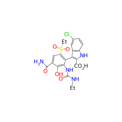 CCNC(=O)Nc1c(O)c(C(N)=O)cc(S(=O)(=O)CC)c1-c1c(C(=O)O)[nH]c2ccc(Cl)cc12